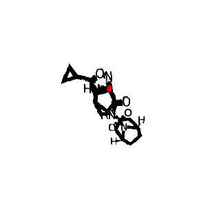 O=C(N[C@H]1C[C@H]2CC[C@@H](C1)N2S(=O)(=O)N1CC2CC1CN2)c1cc(C2CC2)on1